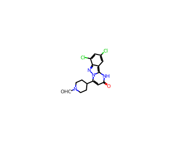 O=CN1CCC(c2cc(=O)[nH]c3c4cc(Cl)cc(Cl)c4nn23)CC1